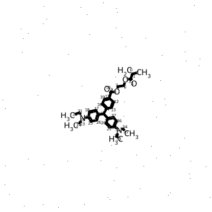 C=C(C)C(=O)OCCOC(=O)c1ccc(C(c2ccc(N(CC)CC)cc2)c2ccc(N(CC)CC)cc2)cc1